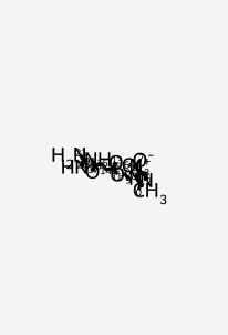 Cc1ncc([N+](=O)[O-])n1CCOC(=O)CCC(=O)NC(=N)N